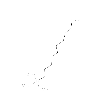 CCCCCCCCCCCCCCCCC[CH2][Ti]([O]C)([O]C)[O]C